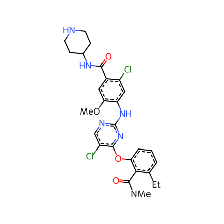 CCc1cccc(Oc2nc(Nc3cc(Cl)c(C(=O)NC4CCNCC4)cc3OC)ncc2Cl)c1C(=O)NC